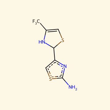 Nc1nc(C2NC(C(F)(F)F)=CS2)cs1